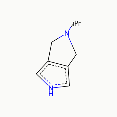 CC(C)N1Cc2c[nH]cc2C1